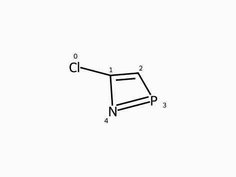 ClC1=CP=N1